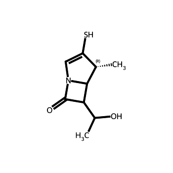 CC(O)C1C(=O)N2C=C(S)[C@H](C)C12